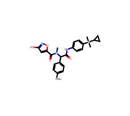 COc1ccc(C(C(=O)Nc2ccc([Si](C)(C)C3CC3)cc2)N(C)C(=O)c2cc(O)no2)cc1